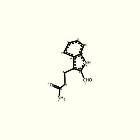 NC(=O)CCc1c(C=O)[nH]c2ccccc12